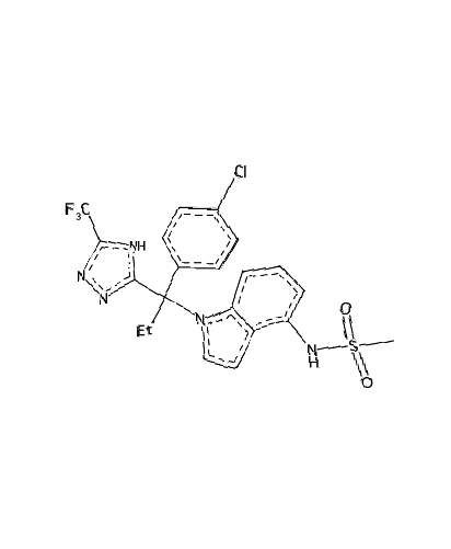 CCC(c1ccc(Cl)cc1)(c1nnc(C(F)(F)F)[nH]1)n1ccc2c(NS(C)(=O)=O)cccc21